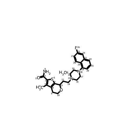 Cc1c(C(N)=O)sc2c1CCOC2CCN1CCN(c2cccc3cc(F)ccc23)C[C@H]1C